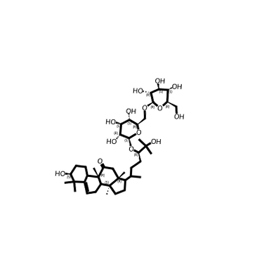 CC(CC[C@@H](O[C@@H]1O[C@H](CO[C@@H]2O[C@H](CO)[C@@H](O)[C@H](O)[C@H]2O)[C@@H](O)[C@H](O)[C@H]1O)C(C)(C)O)C1CC[C@@]2(C)C3CC=C4C(CC[C@H](O)C4(C)C)[C@]3(C)C(=O)C[C@]12C